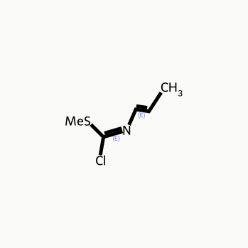 C/C=C/N=C(/Cl)SC